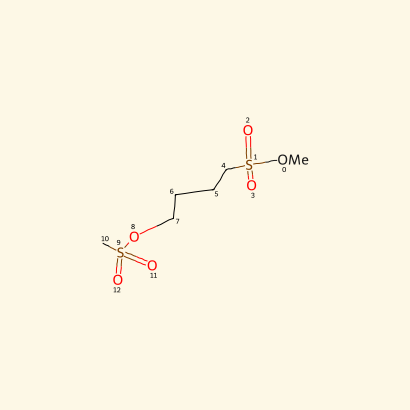 COS(=O)(=O)CCCCOS(C)(=O)=O